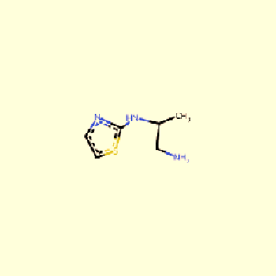 CC(CN)Nc1nccs1